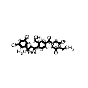 CCc1cc(C(=O)N2CC(=O)N(CC)C(=O)C2)ccc1C1=NOC(C)(c2cc(Cl)cc(Cl)c2)C1